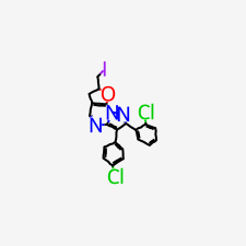 Clc1ccc(-c2c(-c3ccccc3Cl)nn3c4c(cnc23)CC(CI)O4)cc1